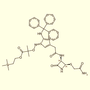 CC(C)(ON=S1C=C(CC(=O)N[C@@H]2C(=O)N[C@@H]2SCC(N)=O)N=C1NC(c1ccccc1)(c1ccccc1)c1ccccc1)C(=O)OCC[Si](C)(C)C